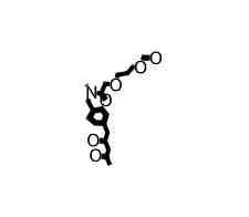 CC(=O)CC(=O)Cc1ccc(CN(C)C(=O)COCCCOC=O)cc1